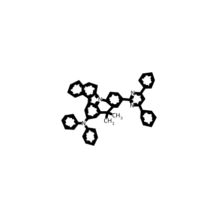 CC1(C)c2cc(-c3nc(-c4ccccc4)cc(-c4ccccc4)n3)ccc2-n2c3ccc4ccccc4c3c3cc(N(c4ccccc4)c4ccccc4)cc1c32